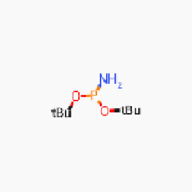 CC(C)(C)OP(N)OC(C)(C)C